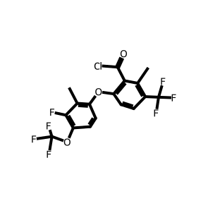 Cc1c(Oc2ccc(C(F)(F)F)c(C)c2C(=O)Cl)ccc(OC(F)(F)F)c1F